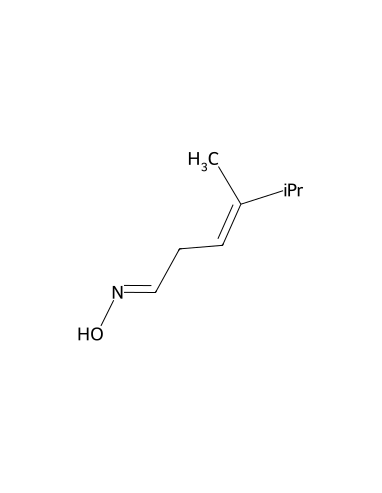 CC(=CCC=NO)C(C)C